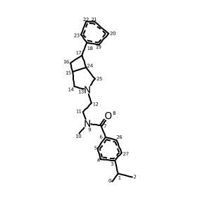 CC(C)c1ccc(C(=O)N(C)CCN2CC3CC(c4ccccc4)C3C2)cc1